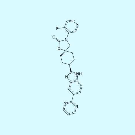 O=C1O[C@]2(CC[C@H](c3nc4cc(-c5ncccn5)ccc4[nH]3)CC2)CN1c1ccccc1F